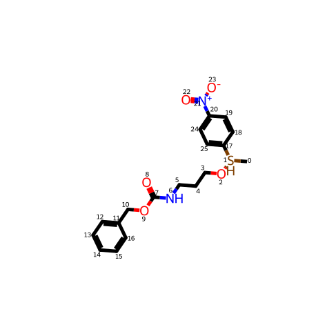 C[SH](OCCCNC(=O)OCc1ccccc1)c1ccc([N+](=O)[O-])cc1